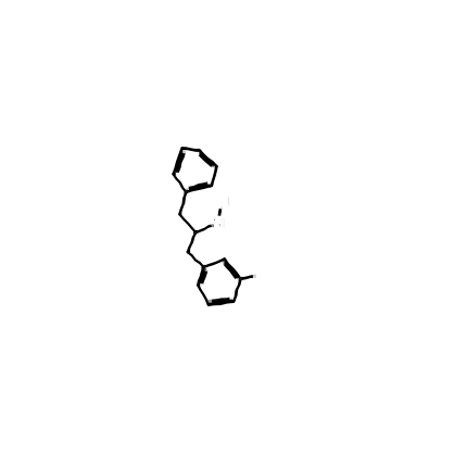 CNC([CH]c1cccc(C)c1)Cc1ccccc1